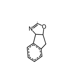 [C]1=NC2c3ccccc3CC2O1